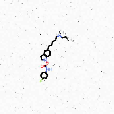 C=CCN(C)CCCCCc1ccc2c(c1)CCN2OC(=O)Nc1ccc(F)cc1